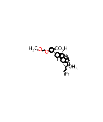 C=COCCOc1ccc(C(=O)O)c([C@H]2CC[C@@]3(C)C(=CC[C@H]4[C@@H]5CC[C@H]([C@H](C)CCCC(C)C)[C@@]5(C)CC[C@@H]43)C2)c1